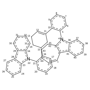 C1=Cc2c(n(-c3ccccc3C3=CCCC(c4ccccc4-n4c5ccccc5c5ccccc54)C3)c3ccccc23)CCC1